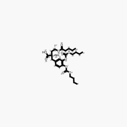 CCCCOC(=O)Oc1ccc(C[C@](N)(C[C@H](C)OC(=O)CCCC)C(=O)O)cc1OC(=O)OCCCC